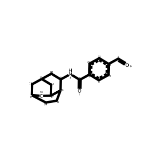 O=Cc1ccc(C(=O)NC2CC3CC4CCC2C(C4)C3)cc1